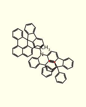 CCc1ccc2cccc3c2c1C1(c2ccccc2-c2ccc(N(c4ccc5c(c4)C(c4ccccc4)(c4ccccc4)c4ccccc4-5)c4ccccc4-c4ccccc4)cc21)c1ccccc1-3